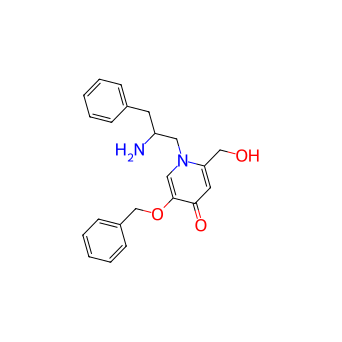 NC(Cc1ccccc1)Cn1cc(OCc2ccccc2)c(=O)cc1CO